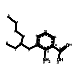 CCCCC(CC)Cc1cccc(C(=O)O)c1N